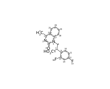 Cc1nc(=O)n(CC(C(=O)O)c2ccc(F)cc2F)c2ccccc12